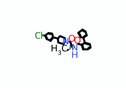 CC[C@@H](NC(=O)c1ccccc1-c1ccccc1)C(=O)N1CCC(c2ccc(Cl)cc2)CC1